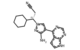 N#CC[C@@H](C1CCCCC1)n1cc(-c2ncnc3[nH]ccc23)c(N)n1